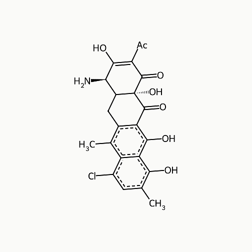 CC(=O)C1=C(O)[C@H](N)C2Cc3c(c(O)c4c(O)c(C)cc(Cl)c4c3C)C(=O)[C@]2(O)C1=O